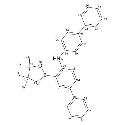 CC1(C)OB(c2cc(-c3ccccc3)ccc2Nc2ccc(-c3ccccc3)cc2)OC1(C)C